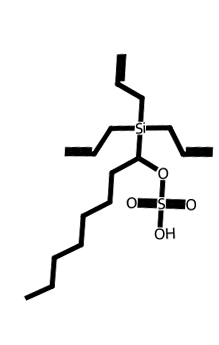 C=CC[Si](CC=C)(CC=C)C(CCCCCCC)OS(=O)(=O)O